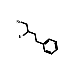 BrCC(Br)CCc1ccccc1